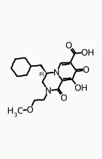 COCCN1C[C@@H](CC2CCCCC2)n2cc(C(=O)O)c(=O)c(O)c2C1=O